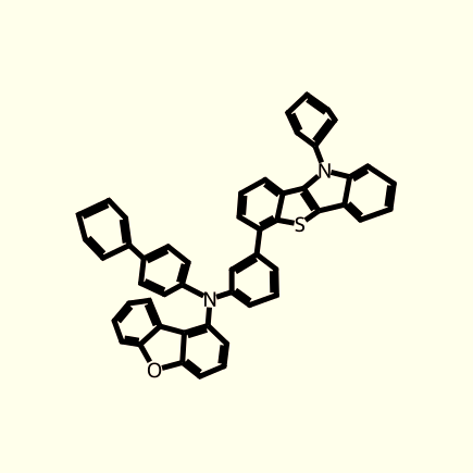 c1ccc(-c2ccc(N(c3cccc(-c4cccc5c4sc4c6ccccc6n(-c6ccccc6)c54)c3)c3cccc4oc5ccccc5c34)cc2)cc1